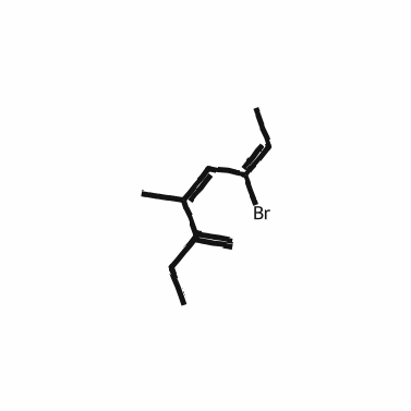 C=C(CC)/C(C)=C\C(Br)=C/C